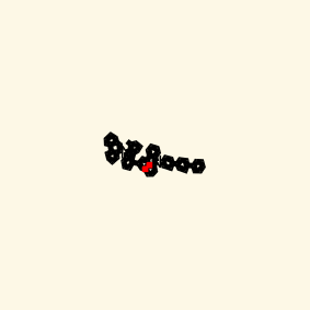 Cc1cccc2c3c(-c4cccc(-c5ccccc5N(C5=CCC(c6ccc(-c7ccccc7)cc6)C=C5)c5ccccc5)c4)cccc3n(-c3cc4ccccc4c4ccccc34)c12